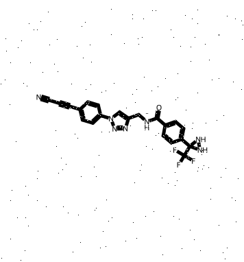 N#CC#Cc1ccc(-n2cc(CNC(=O)c3ccc(C4(C(F)(F)F)NN4)cc3)nn2)cc1